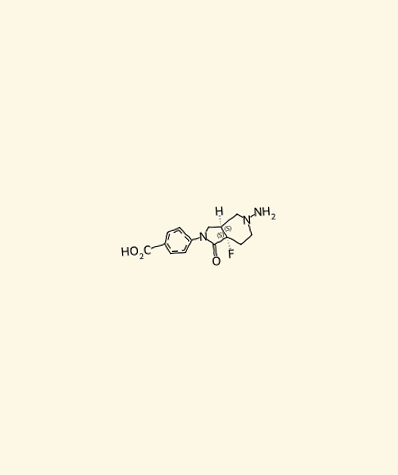 NN1CC[C@@]2(F)C(=O)N(c3ccc(C(=O)O)cc3)C[C@H]2C1